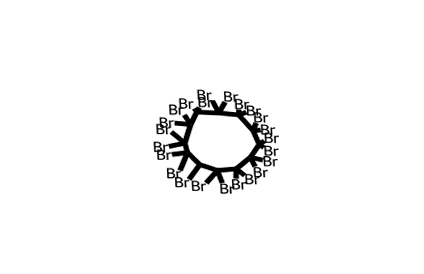 Br[C]1C(Br)(Br)C(Br)(Br)C(Br)(Br)C(Br)(Br)C(Br)(Br)C(Br)(Br)C(Br)(Br)C(Br)(Br)C(Br)(Br)C(Br)(Br)C1(Br)Br